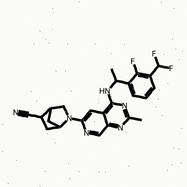 Cc1nc(NC(C)c2cccc(C(F)F)c2F)c2cc(N3CC4CC3CC4C#N)ncc2n1